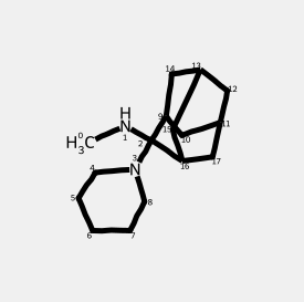 CNC1(N2CCCCC2)C2CC3CC(C2)CC1C3